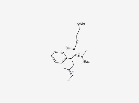 C/C=C(\C)CC(/C(C(=O)OCCOC)=C(/C)NC)c1ccccc1